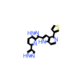 c1cc2[nH]c(-c3n[nH]c4ccc(-c5cn[nH]c5)nc34)cc2c(-c2ccsc2)n1